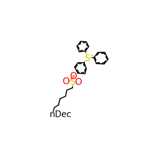 CCCCCCCCCCCCCCCCS(=O)(=O)[O-].c1ccc([S+](c2ccccc2)c2ccccc2)cc1